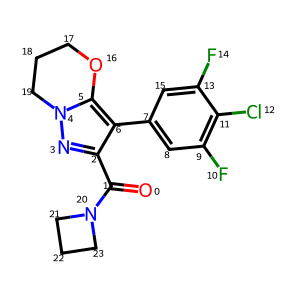 O=C(c1nn2c(c1-c1cc(F)c(Cl)c(F)c1)OCCC2)N1CCC1